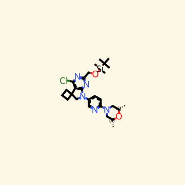 C[C@@H]1CN(c2ccc(N3CC4(CCC4)c4c(Cl)nc(CO[Si](C)(C)C(C)(C)C)nc43)cn2)C[C@H](C)O1